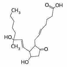 CCCCCC(C)(O)C=CC1C(O)CC(=O)C1CC=CCCCC(=O)O